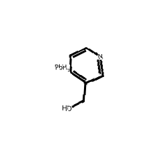 OCc1cccnc1.[PbH2]